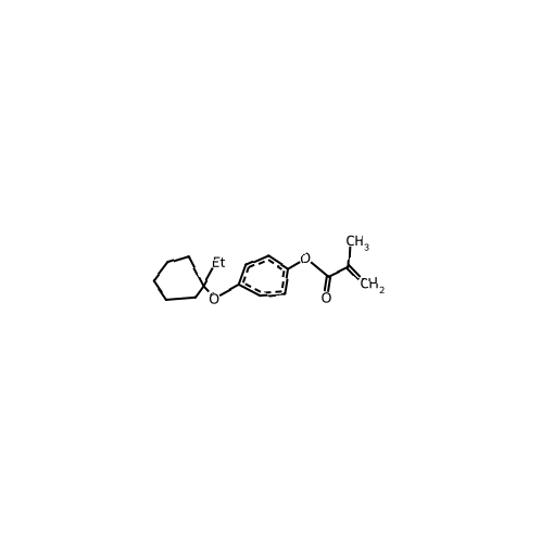 C=C(C)C(=O)Oc1ccc(OC2(CC)CCCCC2)cc1